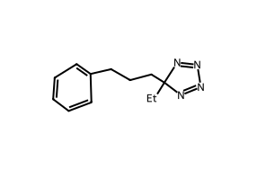 [CH2]CC1(CCCc2ccccc2)N=NN=N1